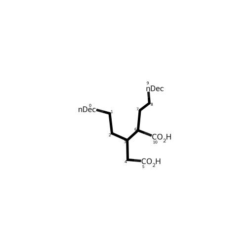 CCCCCCCCCCCCC(CC(=O)O)C(CCCCCCCCCCCC)C(=O)O